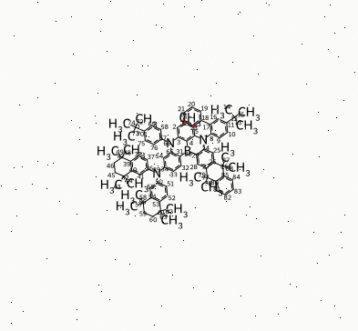 Cc1cc2c3c(c1)N(c1ccc(C(C)(C)C)cc1-c1ccccc1)c1cc4c(cc1B3c1ccc(N(c3ccc5c(c3)C(C)(C)CCC5(C)C)c3ccc5c(c3)C(C)(C)CCC5(C)C)cc1N2c1ccc(C(C)(C)C)cc1)C(C)(C)c1ccccc1C4(C)C